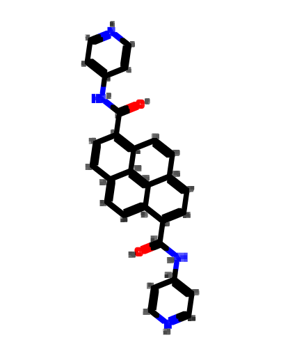 O=C(Nc1ccncc1)c1ccc2ccc3c(C(=O)Nc4ccncc4)ccc4ccc1c2c43